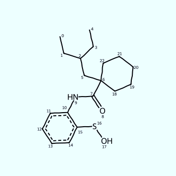 CCC(CC)CC1(C(=O)Nc2ccccc2SO)CCCCC1